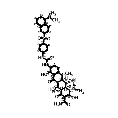 C[C@H]1c2ccc(NC(=S)Nc3ccc(S(=O)(=O)c4ccc5c(N(C)C)cccc5c4)cc3)c(O)c2C(=O)C2=C(O)[C@]3(O)C(=O)C(C(N)=O)=C(O)[C@@H](N(C)C)[C@@H]3[C@@H](O)[C@@H]21